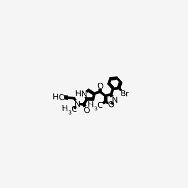 C#CCN(C)C(=O)c1cc(C(=O)c2c(-c3ccccc3Br)noc2C)c[nH]1